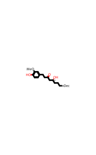 CCCCCCCCCCCCC[C@H](O)CC(=O)CCc1ccc(O)c(OC)c1